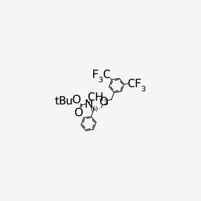 CN(C(=O)OC(C)(C)C)[C@H](COCc1cc(C(F)(F)F)cc(C(F)(F)F)c1)c1ccccc1